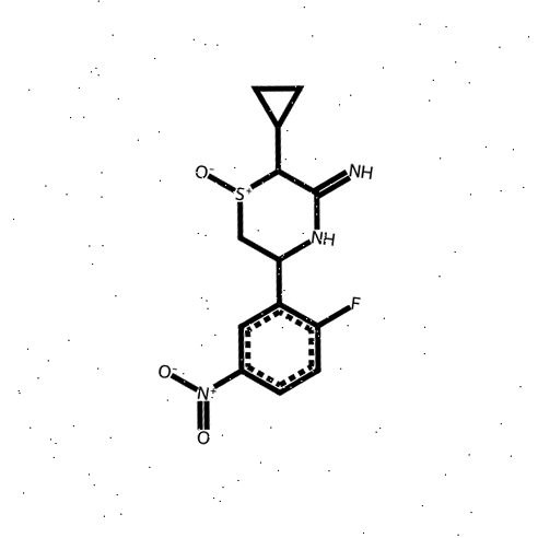 N=C1NC(c2cc([N+](=O)[O-])ccc2F)C[S+]([O-])C1C1CC1